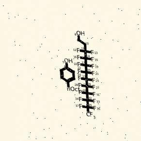 CCCCCCCCc1ccc(O)cc1.OCCC(F)(F)C(F)(F)C(F)(F)C(F)(F)C(F)(F)C(F)(F)C(F)(F)C(F)(F)C(F)(F)C(F)(F)F